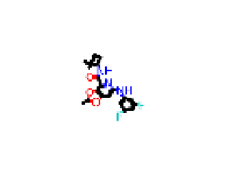 CC1Oc2cc(Nc3cc(F)cc(F)c3)nc(C(=O)NC3CCC3(C)C)c2O1